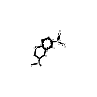 CN(C)C1CSc2ccc([N+](=O)[O-])cc2C1